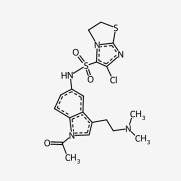 CC(=O)n1cc(CCN(C)C)c2cc(NS(=O)(=O)c3c(Cl)nc4n3CCS4)ccc21